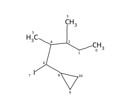 CCC(C)C(C)C(I)C1CC1